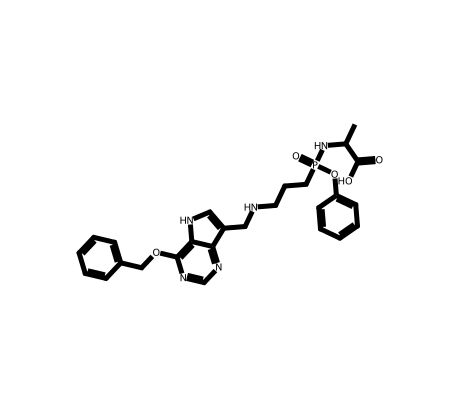 CC(NP(=O)(CCCNCc1c[nH]c2c(OCc3ccccc3)ncnc12)Oc1ccccc1)C(=O)O